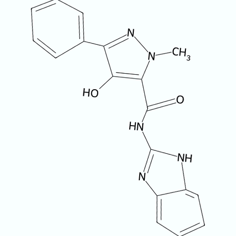 Cn1nc(-c2ccccc2)c(O)c1C(=O)Nc1nc2ccccc2[nH]1